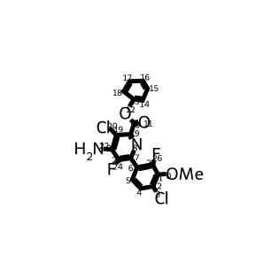 COc1c(Cl)ccc(-c2nc(C(=O)Oc3ccccc3)c(Cl)c(N)c2F)c1F